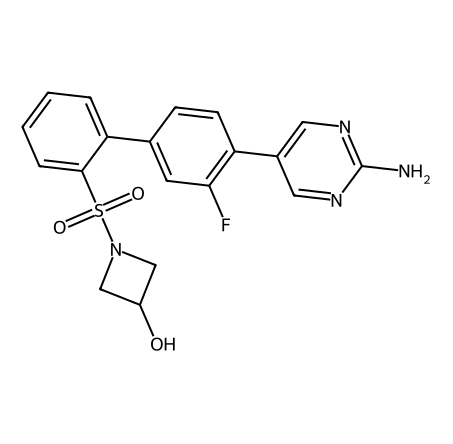 Nc1ncc(-c2ccc(-c3ccccc3S(=O)(=O)N3CC(O)C3)cc2F)cn1